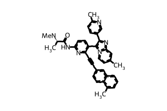 CN[C@@H](C)C(=O)Nc1ccc(-c2c(-c3ccc(C)nc3)nc3cc(C)ccn23)c(C#Cc2ccc3c(C)cccc3c2)n1